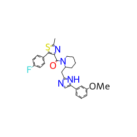 COc1cccc(-c2cnc(CC3CCCCN3C(=O)c3nc(C)sc3-c3ccc(F)cc3)[nH]2)c1